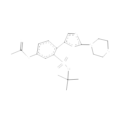 CC(=O)Nc1ccc(-c2cnc(N3CCNCC3)s2)c(S(=O)(=O)NC(C)(C)C)c1